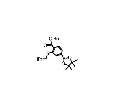 CC(C)COC(=O)c1ccc(B2OC(C)(C)C(C)(C)O2)cc1SCC(C)C